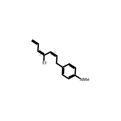 C=C/C=C(\C=C/Cc1ccc(NC)cc1)CC